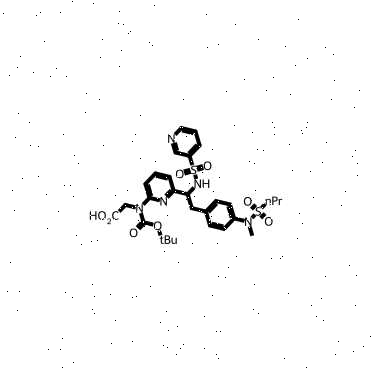 CCCS(=O)(=O)N(C)c1ccc(CC(NS(=O)(=O)c2cccnc2)c2cccc(N(CC(=O)O)C(=O)OC(C)(C)C)n2)cc1